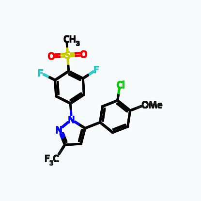 COc1ccc(-c2cc(C(F)(F)F)nn2-c2cc(F)c(S(C)(=O)=O)c(F)c2)cc1Cl